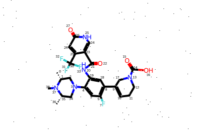 C[C@@H]1CN(c2cc(F)c(C3=CCCN(C(=O)O)C3)cc2NC(=O)c2c[nH]c(=O)cc2C(F)(F)F)C[C@H](C)N1C